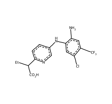 CCC(C(=O)O)c1ccc(Nc2cc(Cl)c(C(F)(F)F)cc2N)cn1